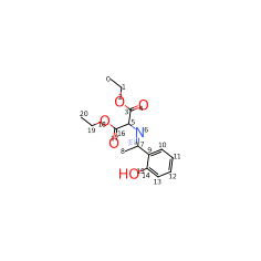 CCOC(=O)C(/N=C(\C)c1ccccc1O)C(=O)OCC